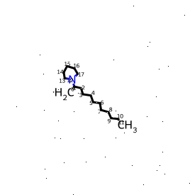 [CH2]C(CCCCCCCCCC)N1CCCCC1